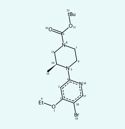 CCOc1cc(N2CCN(C(=O)OC(C)(C)C)C[C@@H]2C)ncc1Br